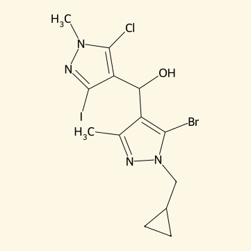 Cc1nn(CC2CC2)c(Br)c1C(O)c1c(I)nn(C)c1Cl